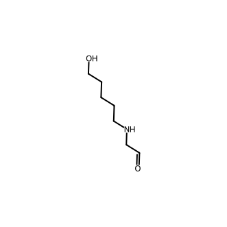 O=CCNCCCCCO